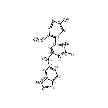 COc1ccc(Cl)cc1-c1cc(Nc2ccc3cc[nH]c3c2)nc(C)n1